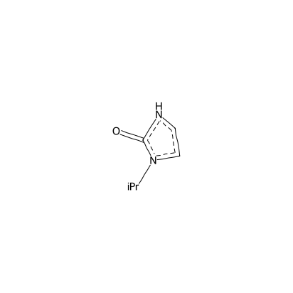 CC(C)n1cc[nH]c1=O